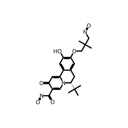 CC(C)(CN=O)COc1cc2c(cc1O)-c1cc(=O)c(C(=O)N=O)cn1[C@@H](C(C)(C)C)C2